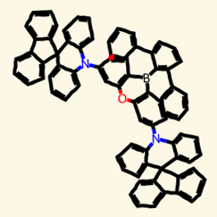 c1ccc(-c2cccc(-c3ccccc3)c2B2c3ccc(N4c5ccccc5C5(c6ccccc6-c6ccccc65)c5ccccc54)cc3Oc3cc(N4c5ccccc5C5(c6ccccc6-c6ccccc65)c5ccccc54)ccc32)cc1